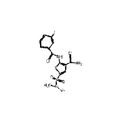 CCCN(C)S(=O)(=O)c1cc(C(N)=O)c(NC(=O)c2cccc(F)c2)s1